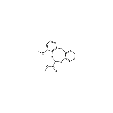 COC(=O)C1Oc2ccccc2Cc2cccc(OC)c2O1